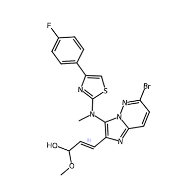 COC(O)/C=C/c1nc2ccc(Br)nn2c1N(C)c1nc(-c2ccc(F)cc2)cs1